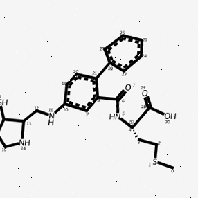 CSCC[C@H](NC(=O)c1cc(NCC2NCCC2S)ccc1-c1ccccc1)C(=O)O